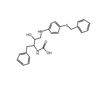 O=C(O)NC(Cc1ccccc1)C(O)CNc1ccc(SCc2ccccc2)cc1